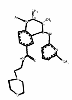 CC(=O)N1c2ccc(C(=O)NCCN3CCOCC3)cc2[C@H](Nc2cccc(C)n2)[C@@H](C)[C@@H]1C